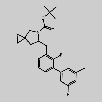 CC(C)(C)OC(=O)N1CC2(CC2)CC1Cc1cccc(-c2cc(F)cc(F)c2)c1F